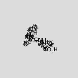 O=C(Nc1ccc(-c2nc(C3=CCOCC3)c3ncn(C4CCN(Cc5ccc[nH]5)CC4)c3n2)cc1)NC1CCN(C(=O)O)C(Cc2ccccc2)C1